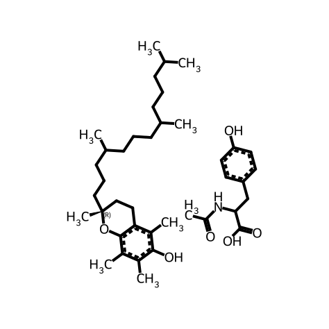 CC(=O)NC(Cc1ccc(O)cc1)C(=O)O.Cc1c(C)c2c(c(C)c1O)CC[C@@](C)(CCCC(C)CCCC(C)CCCC(C)C)O2